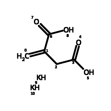 C=C(CC(=O)O)C(=O)O.[KH].[KH]